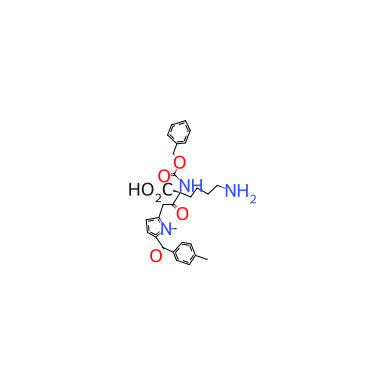 Cc1ccc(C(=O)c2ccc(CC(=O)[C@@](CCCCN)(NC(=O)OCc3ccccc3)C(=O)O)n2C)cc1